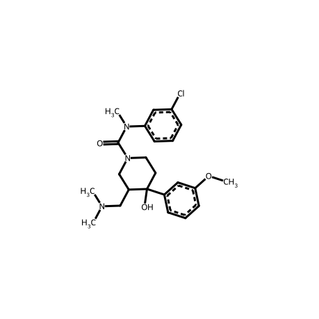 COc1cccc(C2(O)CCN(C(=O)N(C)c3cccc(Cl)c3)CC2CN(C)C)c1